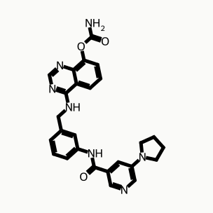 NC(=O)Oc1cccc2c(NCc3cccc(NC(=O)c4cncc(N5CCCC5)c4)c3)ncnc12